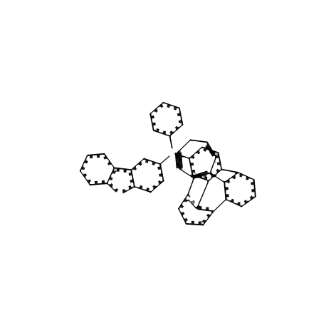 C1#CC2=C(C=CC1)c1c3cccc1-c1cccc2c1-c1cc(N(c2ccccc2)c2ccc4sc5ccccc5c4c2)ccc1-3